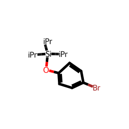 CC(C)[Si](Oc1ccc(Br)cc1)(C(C)C)C(C)C